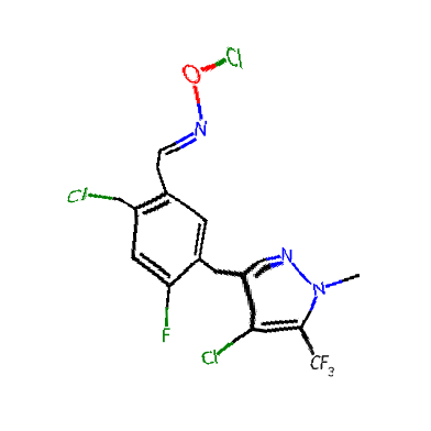 Cn1nc(-c2cc(C=NOCl)c(Cl)cc2F)c(Cl)c1C(F)(F)F